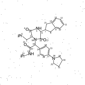 CC(C)CC1C(=O)NC(C2Cc3ccccc3C2)C(=O)N1C(C(=O)NC(C)C)c1ccc(N2CCCC2)cc1